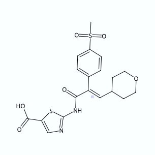 CS(=O)(=O)c1ccc(/C(=C\C2CCOCC2)C(=O)Nc2ncc(C(=O)O)s2)cc1